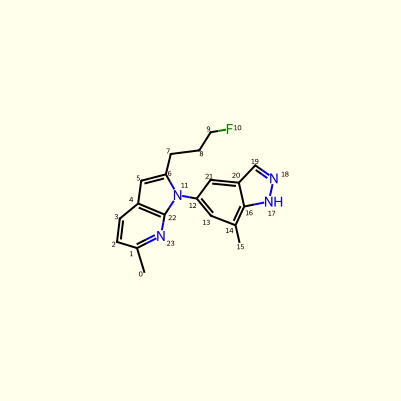 Cc1ccc2cc(CCCF)n(-c3cc(C)c4[nH]ncc4c3)c2n1